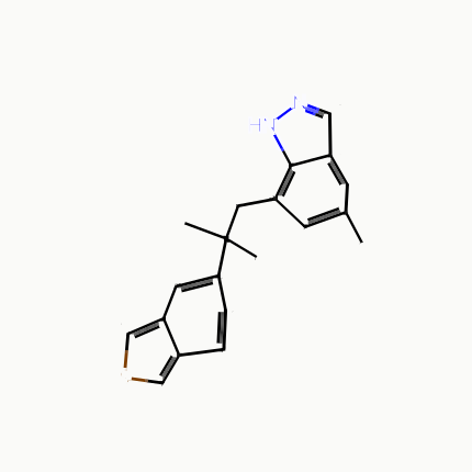 Cc1cc(CC(C)(C)c2ccc3cscc3c2)c2[nH]ncc2c1